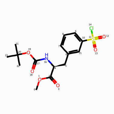 COC(=O)[C@H](Cc1cccc(S(=O)(=O)Cl)c1)NC(=O)OC(C)(C)C